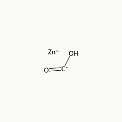 O=[C-]O.[Zn+]